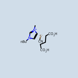 CCCCn1cc[n+](C)c1.N#C[S-].O=C(O)CCCC(=O)O